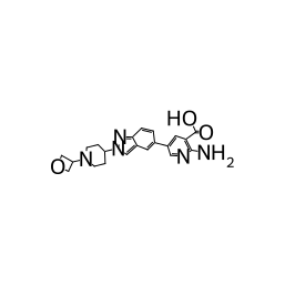 Nc1ncc(-c2ccc3nn(C4CCN(C5COC5)CC4)cc3c2)cc1C(=O)O